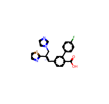 O=C(O)c1ccc(/C=C(\Cn2ccnc2)c2nccs2)cc1-c1ccc(F)cc1